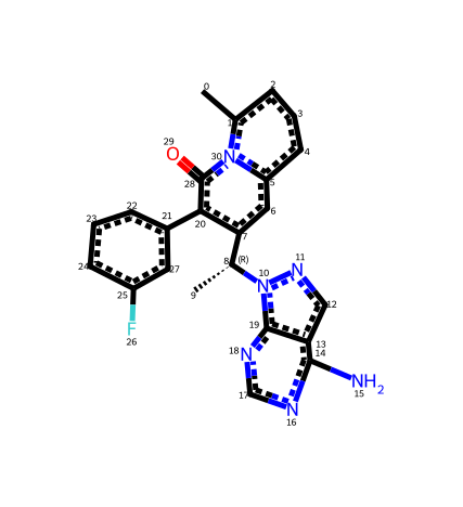 Cc1cccc2cc([C@@H](C)n3ncc4c(N)ncnc43)c(-c3cccc(F)c3)c(=O)n12